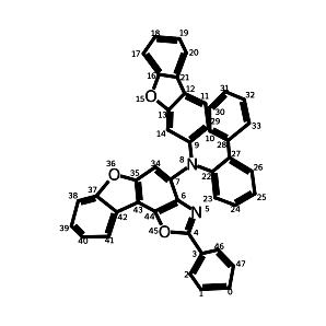 c1ccc(-c2nc3c(N(c4ccc5c(c4)oc4ccccc45)c4ccccc4-c4ccccc4)cc4oc5ccccc5c4c3o2)cc1